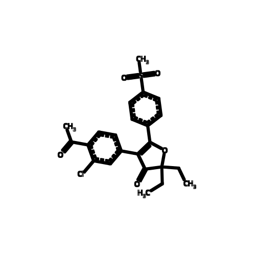 CCC1(CC)OC(c2ccc(S(C)(=O)=O)cc2)=C(c2ccc(C(C)=O)c(Cl)c2)C1=O